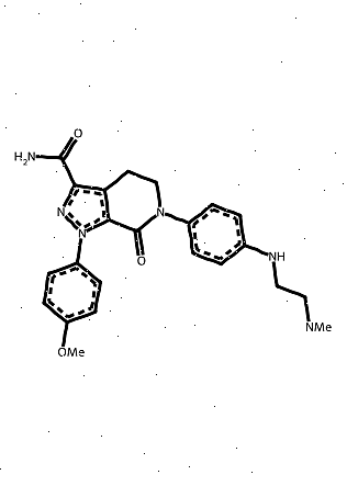 CNCCNc1ccc(N2CCc3c(C(N)=O)nn(-c4ccc(OC)cc4)c3C2=O)cc1